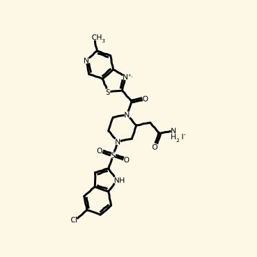 Cc1cc2c(cn1)SC(C(=O)N1CCN(S(=O)(=O)c3cc4cc(Cl)ccc4[nH]3)CC1CC(N)=O)=[N+]2.[I-]